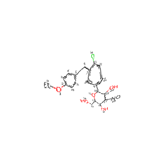 CCOc1ccc(Cc2cc(C3OC(CO)C(O)C(N=O)C3O)ccc2Cl)cc1